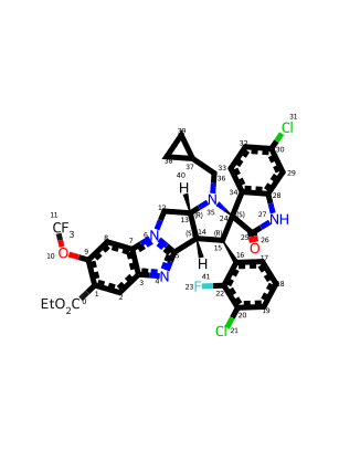 CCOC(=O)c1cc2nc3n(c2cc1OC(F)(F)F)C[C@H]1[C@@H]3[C@H](c2cccc(Cl)c2F)[C@]2(C(=O)Nc3cc(Cl)ccc32)N1CC1CC1